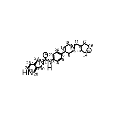 O=C(Nc1ccc(C2CCN(CC3CCOCC3)CC2)cc1)N1C=C2C=CNC=C2C1